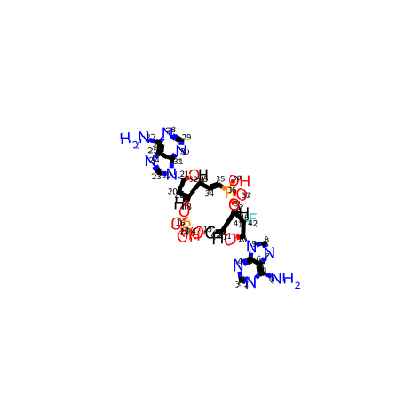 Nc1ncnc2c1ncn2[C@@H]1O[C@@H]2COP(=O)(O)O[C@H]3C[C@H](n4cnc5c(N)ncnc54)O[C@@H]3/C=C/P(=O)(O)O[C@H]2[C@H]1F